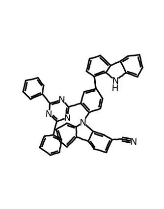 N#Cc1ccc2c3ccccc3n(-c3ccc(-c4cccc5c4[nH]c4ccccc45)cc3-c3nc(-c4ccccc4)nc(-c4ccccc4)n3)c2c1